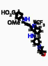 COc1cc(C(=O)O)ccc1NCC#Cc1cc2c(N[C@H]3CC[C@@H](N4CC5(COC5)C4)CC3)cccc2n1CC(F)(F)F